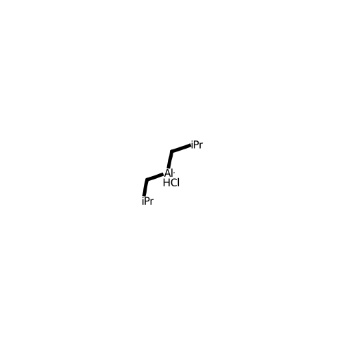 CC(C)[CH2][Al][CH2]C(C)C.Cl